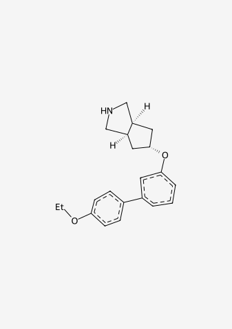 CCOc1ccc(-c2cccc(O[C@@H]3C[C@H]4CNC[C@H]4C3)c2)cc1